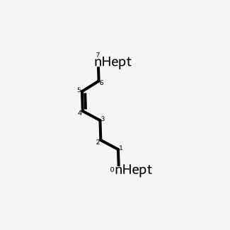 C[CH]CCCCCCCC/C=C\CCCCCCCC